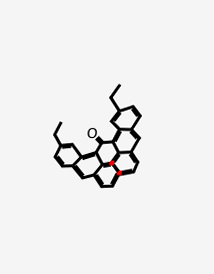 CCc1ccc2cc3ccccc3c(C(=O)c3c4ccccc4cc4ccc(CC)cc34)c2c1